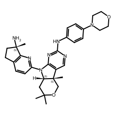 CC1(C)C[C@@H]2N(c3ccc4c(n3)[C@@](C)(N)CC4)c3nc(Nc4ccc(N5CCOCC5)cc4)ncc3[C@]2(C)CO1